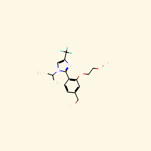 COCCOc1cc(CO)ccc1-c1nc(C(F)(F)F)cn1C(C)C